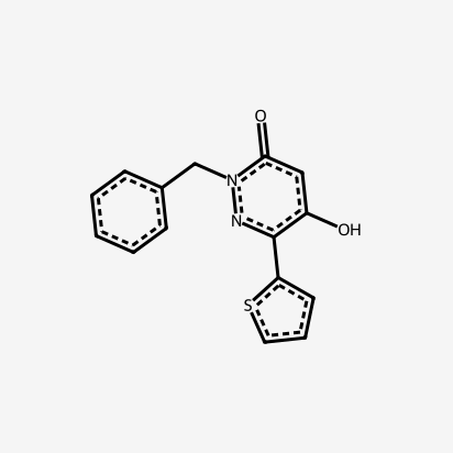 O=c1cc(O)c(-c2cccs2)nn1Cc1ccccc1